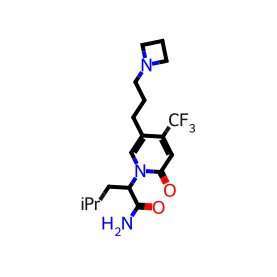 CC(C)CC(C(N)=O)n1cc(CCCN2CCC2)c(C(F)(F)F)cc1=O